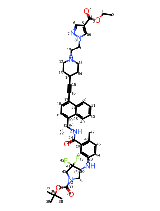 CCOC(=O)c1cnn(CCN2CCC(C#Cc3ccc([C@@H](C)NC(=O)c4cc(N[C@H]5CN(C(=O)OC(C)(C)C)CC5(F)F)ccc4C)c4ccccc34)CC2)c1